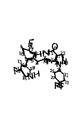 O=c1[nH]c(Cc2cc(F)ccc2C2=CC(F)=CNC2)nc2c1cnn2C1CCC(F)(F)CC1